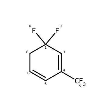 FC1(F)C=C(C(F)(F)F)C=[C]C1